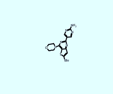 CC(C)(C)c1cc2nc(-c3cnc(N)nc3)nc(N3CCOCC3)c2s1